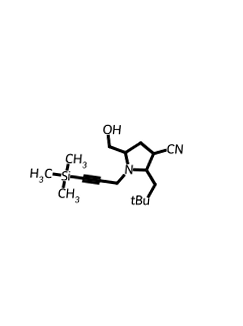 CC(C)(C)CC1C(C#N)CC(CO)N1CC#C[Si](C)(C)C